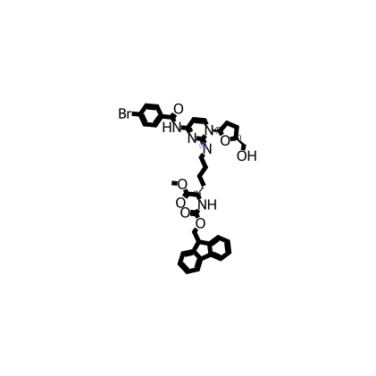 COC(=O)[C@H](CCCC/N=c1\nc(NC(=O)c2ccc(Br)cc2)ccn1[C@H]1CC[C@@H](CO)O1)NC(=O)OCC1c2ccccc2-c2ccccc21